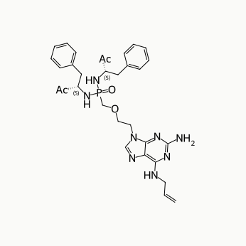 C=CCNc1nc(N)nc2c1ncn2CCOCP(=O)(N[C@@H](Cc1ccccc1)C(C)=O)N[C@@H](Cc1ccccc1)C(C)=O